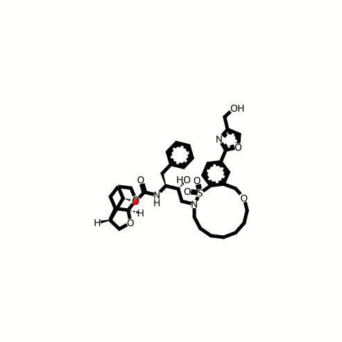 O=C(N[C@@H](Cc1ccccc1)[C@H](O)CN1CCCCCCCOCc2cc(-c3nc(CO)co3)ccc2S1(=O)=O)O[C@H]1C2CO[C@H]3OC[C@@H]1C3C2